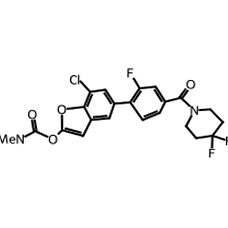 CNC(=O)Oc1cc2cc(-c3ccc(C(=O)N4CCC(F)(F)CC4)cc3F)cc(Cl)c2o1